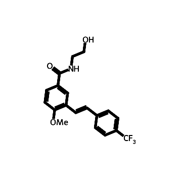 COc1ccc(C(=O)NCCO)cc1C=Cc1ccc(C(F)(F)F)cc1